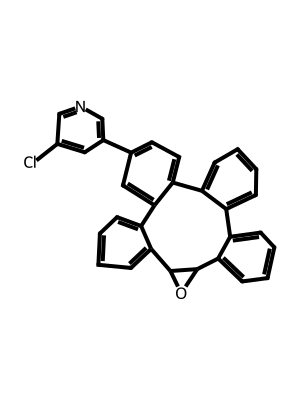 Clc1cncc(-c2ccc3c(c2)-c2ccccc2C2OC2c2ccccc2-c2ccccc2-3)c1